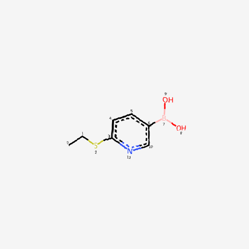 CCSc1ccc(B(O)O)cn1